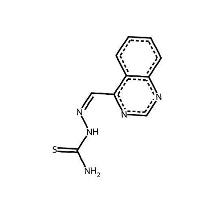 NC(=S)N/N=C\c1ncnc2ccccc12